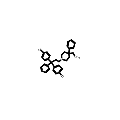 NCC1(c2ccccc2)CCN(CCC(c2ccccc2)(c2ccc(Cl)cc2)c2ccc(Cl)cc2)CC1